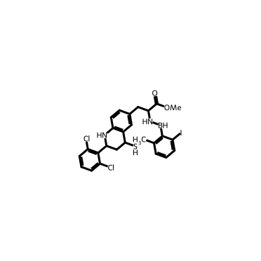 COC(=O)C(Cc1ccc2c(c1)C(S)CC(c1c(Cl)cccc1Cl)N2)NBc1c(C)cccc1I